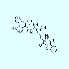 COc1cc(C)c(S(=O)(=O)NC(=N)NCCC[C@H](N)C(=O)c2nc3ccccc3n2C)c(C)c1C.Cl